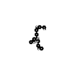 c1cncc(-c2ccc3oc4ccc(-c5ccc(-c6nc7ccc(-c8ccc9oc%10ccccc%10c9c8)nc7c7c6ccc6c8ccccc8oc67)cc5)cc4c3c2)c1